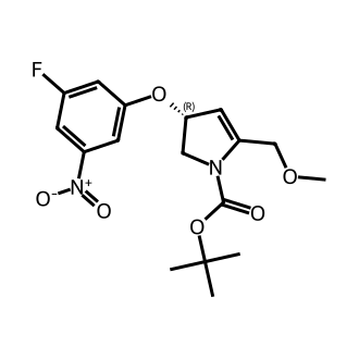 COCC1=C[C@@H](Oc2cc(F)cc([N+](=O)[O-])c2)CN1C(=O)OC(C)(C)C